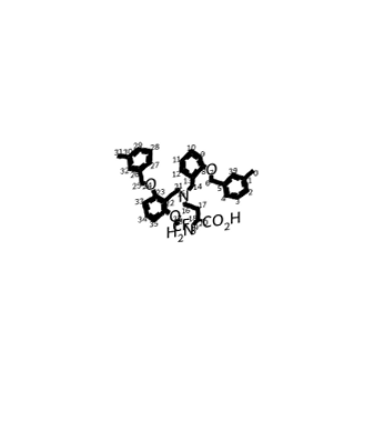 Cc1cccc(COc2ccccc2CN(CC[C@H](N)C(=O)O)Cc2c(OCc3cccc(C)c3)cccc2OC(F)(F)F)c1